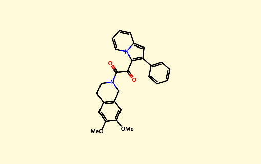 COc1cc2c(cc1OC)CN(C(=O)C(=O)c1c(-c3ccccc3)cc3ccccn13)CC2